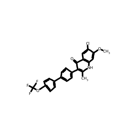 COc1cc2[nH]c(C)c(-c3ccc(-c4ccc(OC(F)(F)F)cc4)cc3)c(=O)c2cc1Cl